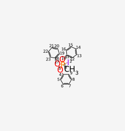 CP(I)(Oc1ccccc1)(Oc1ccccc1)Oc1ccccc1